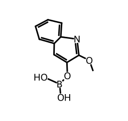 COc1nc2ccccc2cc1OB(O)O